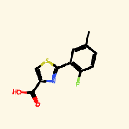 Cc1ccc(F)c(-c2nc(C(=O)O)cs2)c1